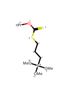 CCCOC(=S)SCCC[Si](OC)(OC)OC